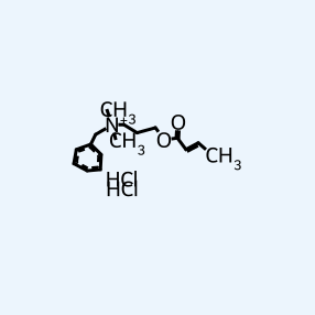 CC=CC(=O)OCCC[N+](C)(C)Cc1ccccc1.Cl.Cl